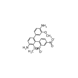 COc1cc(-c2ccc(N)c(OC)c2-c2ccc([N+](=O)[O-])cc2[N+](=O)[O-])ccc1N